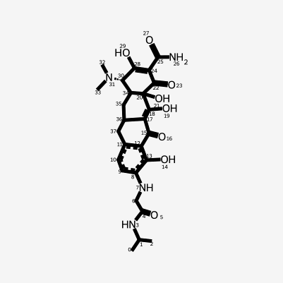 CC(C)NC(=O)CNc1ccc2c(c1O)C(=O)C1=C(O)C3(O)C(=O)C(C(N)=O)=C(O)[C@@H](N(C)C)C3CC1C2